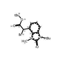 Cn1c(=O)n(C(C)(C)C)c2cccc(C(Br)C(=O)OC(C)(C)C)c21